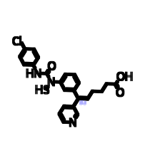 O=C(O)CCC/C=C(/c1cccnc1)c1cccc(N(S)C(=O)Nc2ccc(Cl)cc2)c1